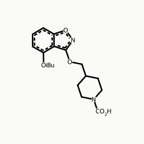 CC(C)COc1cccc2onc(OCC3CCN(C(=O)O)CC3)c12